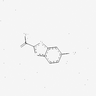 COc1ccc2oc(C(N)=O)nc2c1